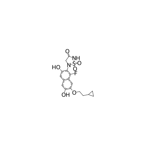 O=C1CN(c2c(O)cc3cc(O)c(OCCC4CC4)cc3c2F)S(=O)(=O)N1